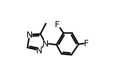 Cc1ncnn1-c1ccc(F)cc1F